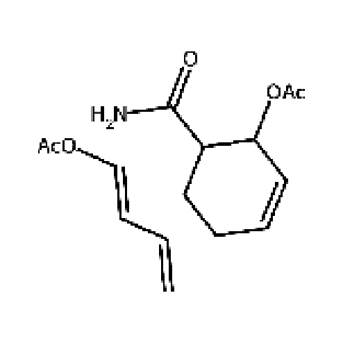 C=CC=COC(C)=O.CC(=O)OC1C=CCCC1C(N)=O